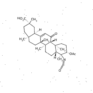 CC(=O)O[C@H]1CC[C@@]2(C)[C@@H](CC[C@]3(C)[C@@H]2C(=O)C=C2[C@@H]4C[C@@](C)(C(=O)O)CC[C@]4(C)CC[C@]23C)[C@]1(C)N=C=O